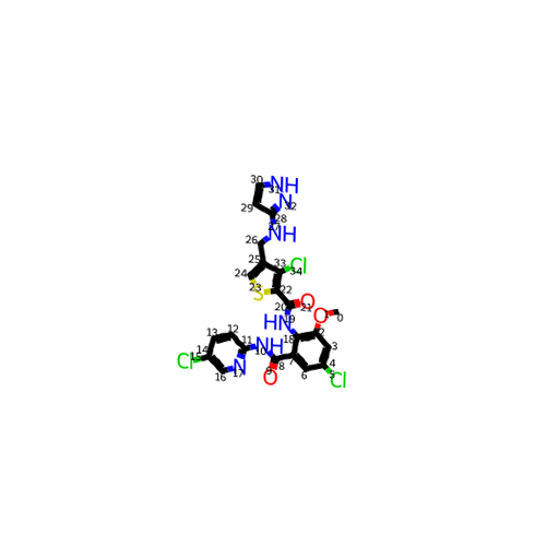 COc1cc(Cl)cc(C(=O)Nc2ccc(Cl)cn2)c1NC(=O)c1scc(CNc2cc[nH]n2)c1Cl